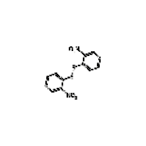 O=[N+]([O-])c1ccccc1SSc1ccccc1[N+](=O)[O-]